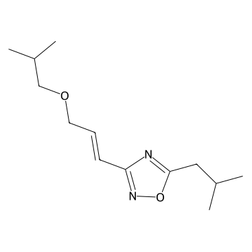 CC(C)COCC=Cc1noc(CC(C)C)n1